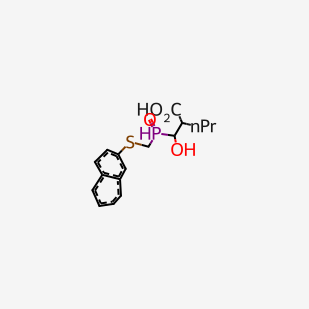 CCCC(C(=O)O)C(O)[PH](=O)CSc1ccc2ccccc2c1